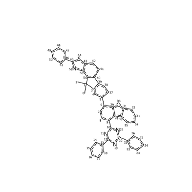 CC1(C)c2cc(-c3ccc(-c4nc(-c5ccccc5)nc(-c5ccccc5)n4)c4c3oc3ccccc34)ccc2-c2ccc3sc(-c4ccccc4)nc3c21